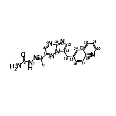 C/C(=N\NC(N)=O)c1cnc2ncc(Cc3ccc4ncccc4c3)n2n1